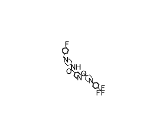 O=C(NC1CCN(Cc2ccc(F)cc2)CC1)c1ccnc(OC2CCN(c3ccc(C(F)(F)F)cc3)CC2)c1